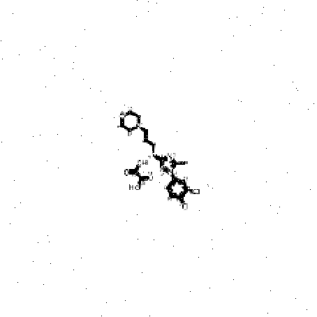 Cc1nc(SCCCN2CCOCC2)nn1-c1ccc(Cl)c(Cl)c1.O=C(O)C(=O)O